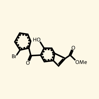 COC(=O)C1=Cc2cc(C(=O)c3ccccc3Br)c(O)cc21